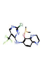 CP(C)Oc1c(Nc2nc(Cl)ncc2C(F)(F)F)ccc2nccnc12